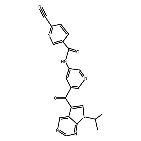 CC(C)n1cc(C(=O)c2cncc(NC(=O)c3ccc(C#N)nc3)c2)c2cncnc21